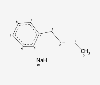 CCCCc1[c]cccc1.[NaH]